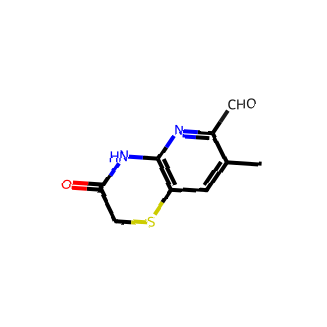 Cc1cc2c(nc1C=O)NC(=O)CS2